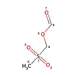 CS(=O)(=O)COC=O